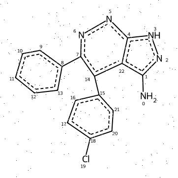 Nc1n[nH]c2nnc(-c3ccccc3)c(-c3ccc(Cl)cc3)c12